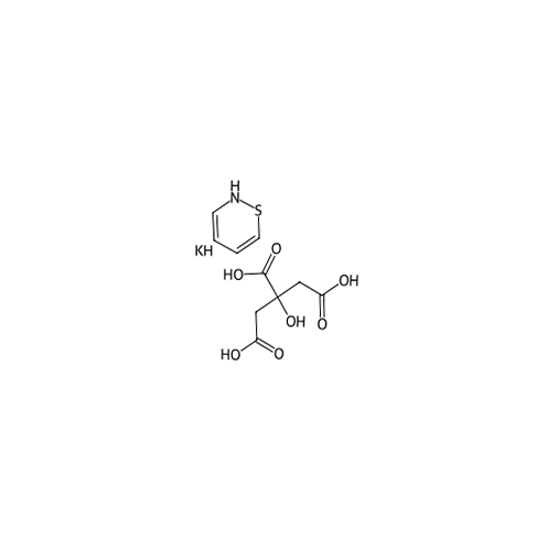 C1=CNSC=C1.O=C(O)CC(O)(CC(=O)O)C(=O)O.[KH]